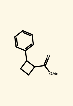 COC(=O)C1CCC1c1ccccc1